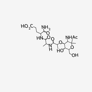 CC(=O)NC1[C@H](OC(C)C(=O)NC(C)C(=O)NC(CCC(=O)O)C(N)=O)[C@H](O)C(CO)OC1(C)C